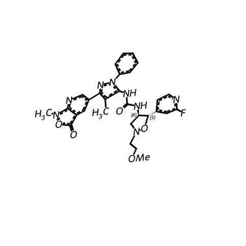 COCCN1C[C@@H](NC(=O)Nc2c(C)c(-c3cnc4c(c3)c(=O)on4C)nn2-c2ccccc2)[C@H](c2ccnc(F)c2)O1